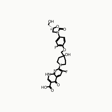 O=C(O)c1c[nH]c2nc(N3CCC(O)(COc4ccc(N5C[C@H](CO)OC5=O)cc4F)CC3)c(F)cc2c1=O